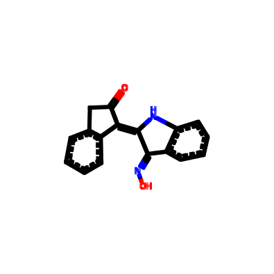 O=C1Cc2ccccc2/C1=C1/Nc2ccccc2/C1=N\O